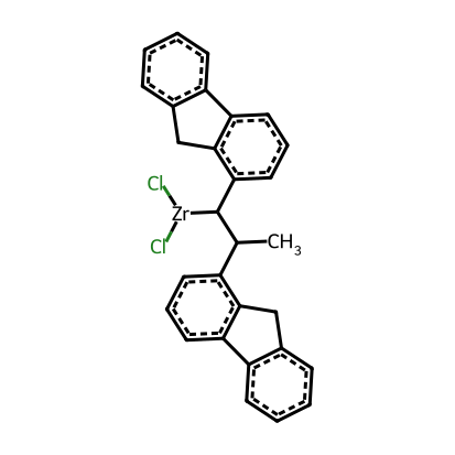 CC(c1cccc2c1Cc1ccccc1-2)[CH](c1cccc2c1Cc1ccccc1-2)[Zr]([Cl])[Cl]